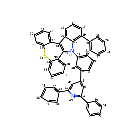 c1ccc(-c2cc(-c3cccc(-n4c5c(c6cccc(-c7ccccc7)c64)-c4ccccc4Sc4ccccc4-5)c3)cc(-c3ccccc3)n2)cc1